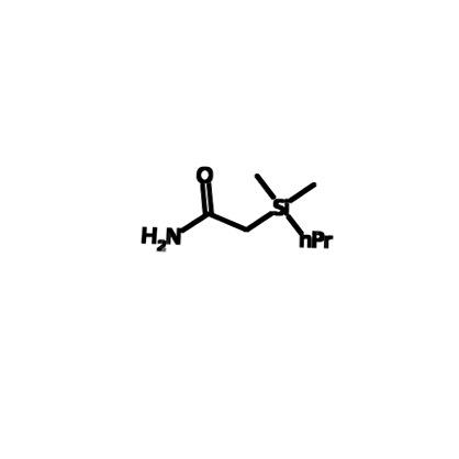 CCC[Si](C)(C)CC(N)=O